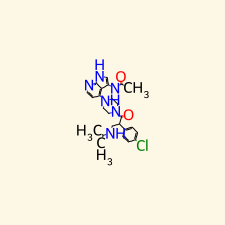 CC(=O)Nc1c[nH]c2nccc(N3CCN(C(=O)C(CNC(C)C)c4ccc(Cl)cc4)CC3)c12